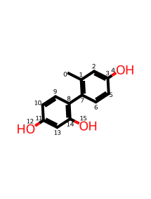 Cc1cc(O)ccc1-c1ccc(O)cc1O